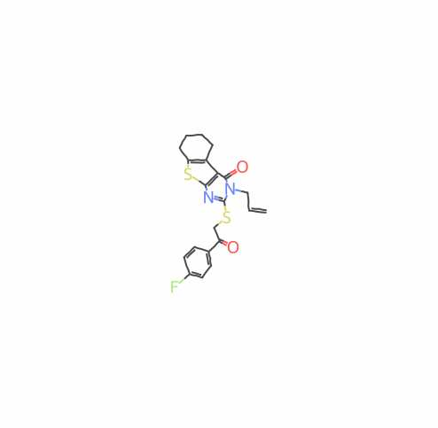 C=CCn1c(SCC(=O)c2ccc(F)cc2)nc2sc3c(c2c1=O)CCCC3